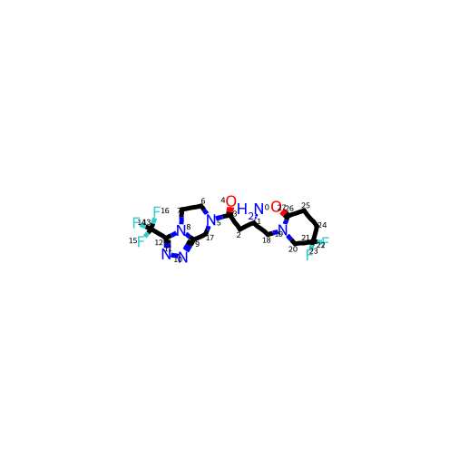 N[C@@H](CC(=O)N1CCn2c(nnc2C(F)(F)F)C1)CN1CC(F)(F)CCC1=O